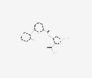 Cn1cc(NC(=O)c2cccc(-c3cnccc3Cl)n2)c(C(N)=O)n1